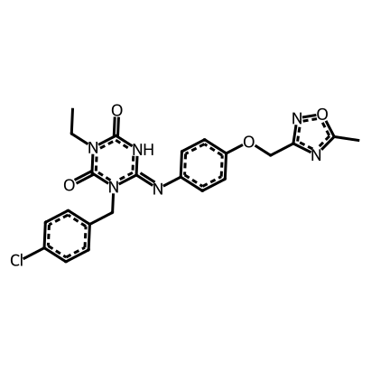 CCn1c(=O)[nH]/c(=N\c2ccc(OCc3noc(C)n3)cc2)n(Cc2ccc(Cl)cc2)c1=O